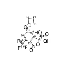 O=C1OC(P(=O)(O)O)c2cc(OC3CCC3)cc(C(F)(F)F)c21